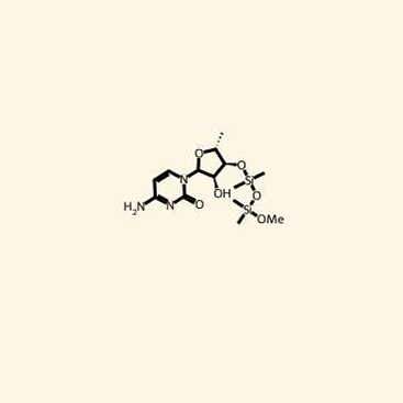 CO[Si](C)(C)O[Si](C)(C)O[C@@H]1[C@@H](C)OC(n2ccc(N)nc2=O)[C@@H]1O